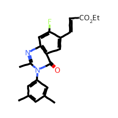 CCOC(=O)/C=C/c1cc2c(=O)n(-c3cc(C)cc(C)c3)c(C)nc2cc1F